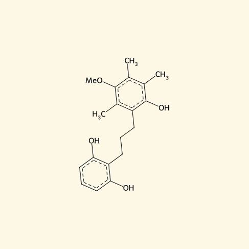 COc1c(C)c(C)c(O)c(CCCc2c(O)cccc2O)c1C